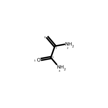 C=C(N)C(N)=O